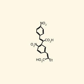 CCC(=Cc1ccc([N+](=O)[O-])c(C(=Cc2ccc([N+](=O)[O-])cc2)C(=O)O)c1)C(=O)O